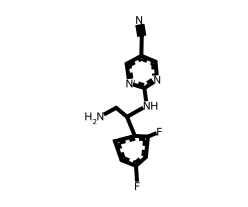 N#Cc1cnc(NC(CN)c2ccc(F)cc2F)nc1